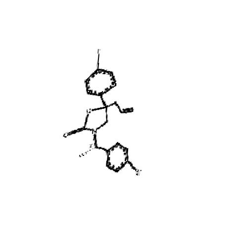 C=CCC1(c2ccc(F)cc2)CN([C@@H](C)c2ccc(Br)cc2)C(=O)O1